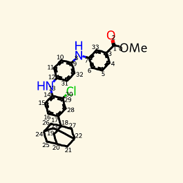 COC(=O)c1cccc(Nc2ccc(Nc3ccc(C45CC6CC(CC(C6)C4)C5)cc3Cl)cc2)c1